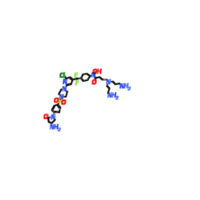 NCCCN(CCCN)CCCC(=O)N(O)C1CCC(C(F)(F)c2cc(Cl)nc(N3CCN(S(=O)(=O)c4ccc(N5C[C@H](N)CC5=O)cc4)CC3)c2)CC1